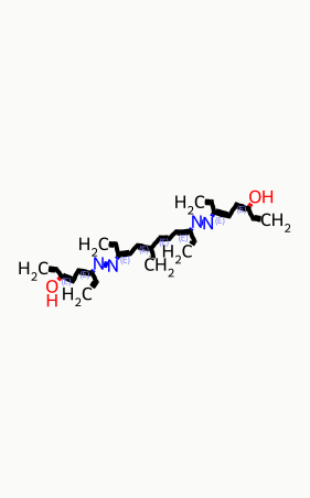 C=C/C(O)=C\C=C(/C=C)N=N/C(C=C)=C/C=C/C(C=C)=C/C=C(\C=C)N=N/C(C=C)=C/C=C(/O)C=C